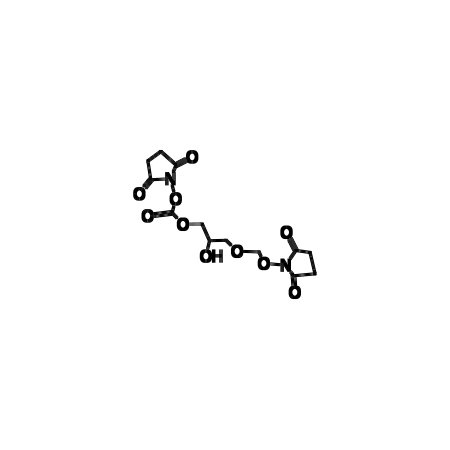 O=C(OCC(O)COCON1C(=O)CCC1=O)ON1C(=O)CCC1=O